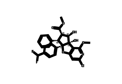 COC(=O)[C@H]1[C@@H](O)[C@@]2(O)c3c(cc(Cl)nc3OC)O[C@@]2(c2ccc(C(F)F)cc2)[C@@H]1c1ccccc1